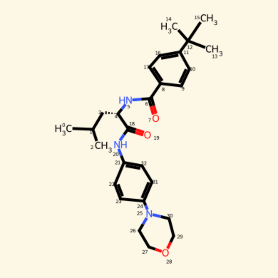 CC(C)C[C@H](NC(=O)c1ccc(C(C)(C)C)cc1)C(=O)Nc1ccc(N2CCOCC2)cc1